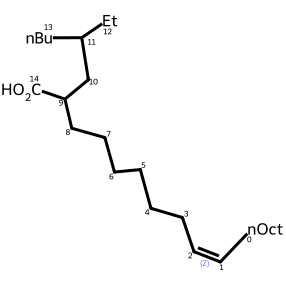 CCCCCCCC/C=C\CCCCCCC(CC(CC)CCCC)C(=O)O